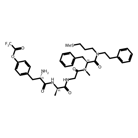 CSCCCN(CCc1ccccc1)C(=O)[C@H](Cc1ccccc1)N(C)C(=O)CNC(=O)[C@@H](C)NC(=O)[C@@H](N)Cc1ccc(OC(=O)C(F)(F)F)cc1